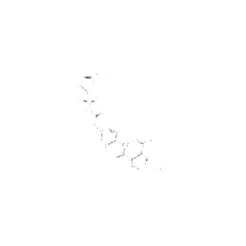 CNc1ccc2c(=O)n(-c3ccc(NC(=O)NS(=O)(=O)c4ccc(C)s4)cn3)cc(C)c2c1